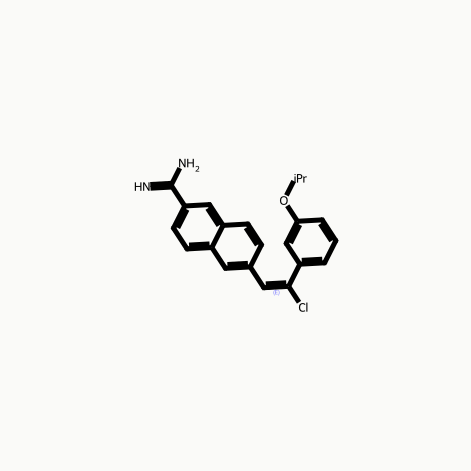 CC(C)Oc1cccc(/C(Cl)=C\c2ccc3cc(C(=N)N)ccc3c2)c1